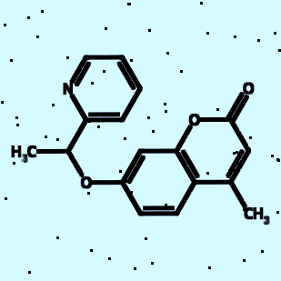 Cc1cc(=O)oc2cc(OC(C)c3ccccn3)ccc12